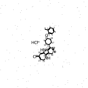 Cc1ccccc1O[C@H]1CC[C@H](C2=c3[nH]c4c(c3CN=N2)NCC=C(Cl)C=4)CC1.Cl